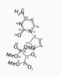 COC(=O)C(O[C@H]1C=C[C@@H](n2ccc(N)nc2=O)C1)P(=O)(OC)OC